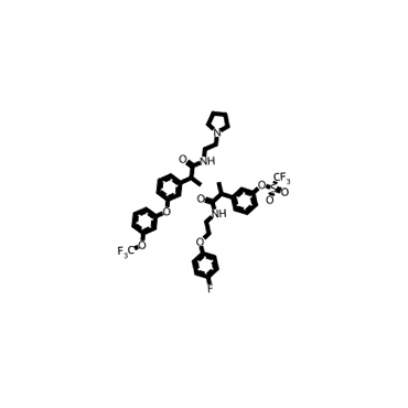 CC(C(=O)NCCN1CCCC1)c1cccc(Oc2cccc(OC(F)(F)F)c2)c1.CC(C(=O)NCCOc1ccc(F)cc1)c1cccc(OS(=O)(=O)C(F)(F)F)c1